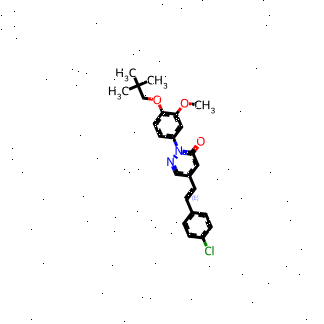 COc1cc(-n2ncc(/C=C/c3ccc(Cl)cc3)cc2=O)ccc1OCC(C)(C)C